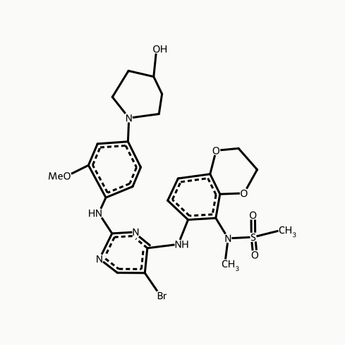 COc1cc(N2CCC(O)CC2)ccc1Nc1ncc(Br)c(Nc2ccc3c(c2N(C)S(C)(=O)=O)OCCO3)n1